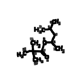 C[C](C)CC(C)OC(=O)C(C)(C)C